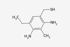 CCc1cc(CS)c(N)c(C)c1N